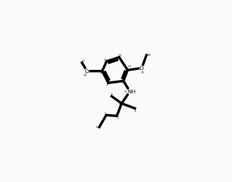 CCCC(C)(C)Nc1cc(OC)ccc1OC